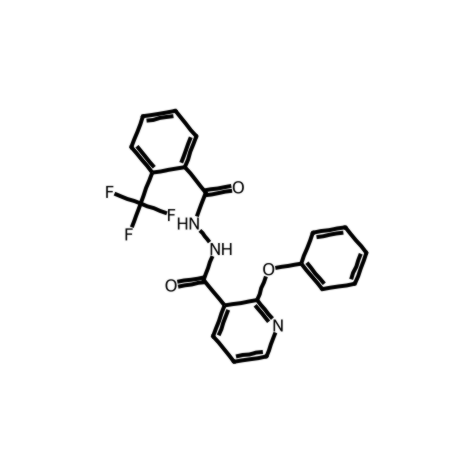 O=C(NNC(=O)c1cccnc1Oc1ccccc1)c1ccccc1C(F)(F)F